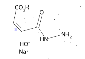 NNC(=O)/C=C\C(=O)O.[Na+].[OH-]